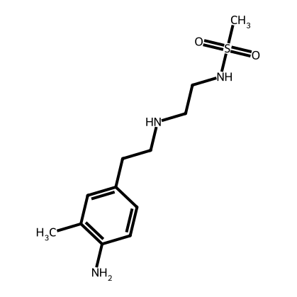 Cc1cc(CCNCCNS(C)(=O)=O)ccc1N